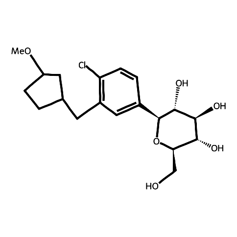 COC1CCC(Cc2cc([C@@H]3O[C@H](CO)[C@@H](O)[C@H](O)[C@H]3O)ccc2Cl)C1